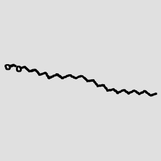 CCCCCCCCCCCCCCCCCCCCCCCCCOC=O